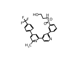 Cc1cc(-c2ccc(C(F)(F)F)cc2)cc(-c2ccnc(-c3cccc(S(=O)(=O)NCCO)c3)c2)n1